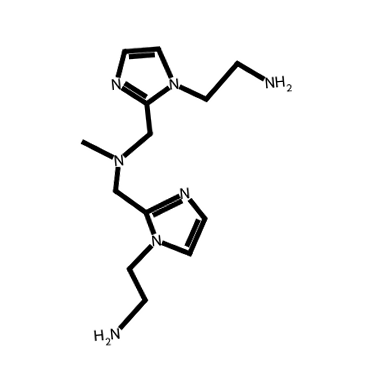 CN(Cc1nccn1CCN)Cc1nccn1CCN